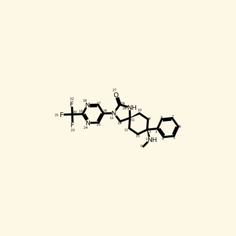 CN[C@]1(c2ccccc2)CC[C@@]2(CC1)CN(c1cnc(C(F)(F)F)nc1)C(=O)N2